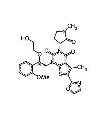 COc1ccccc1[C@H](Cn1c(=O)n(C2CCN(C)C2=O)c(=O)c2c(C)c(-c3ncco3)sc21)OCCO